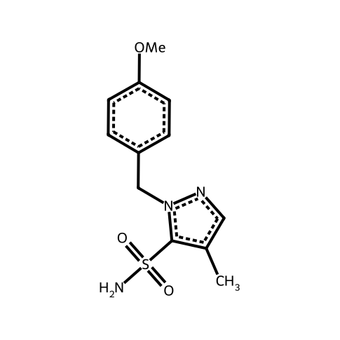 COc1ccc(Cn2ncc(C)c2S(N)(=O)=O)cc1